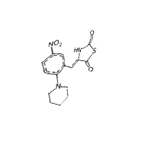 O=C1NC(=Cc2cc([N+](=O)[O-])ccc2N2CCCCC2)C(=O)S1